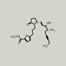 CCC#CC[C@@H](C)[C@@H](O)C=C[C@H]1CCC(=O)N1CCCc1ccc(C(=O)OC)s1